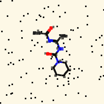 CNC(=O)N=C(NC(=O)N1CCCCC1)SC